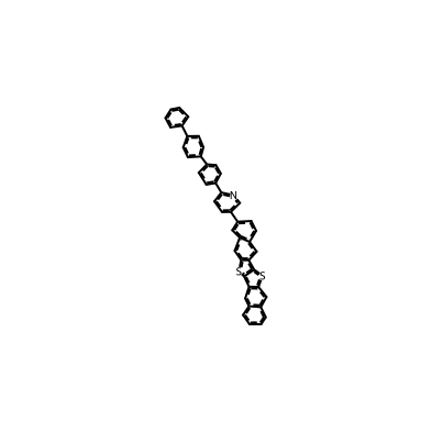 c1ccc(-c2ccc(-c3ccc(-c4ccc(-c5ccc6cc7c(cc6c5)sc5c6cc8ccccc8cc6sc75)cn4)cc3)cc2)cc1